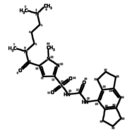 CN(C)CCCN(C)C(=O)c1cc(S(=O)(=O)NC(=O)Nc2c3c(cc4c2CCC4)CCC3)nn1C